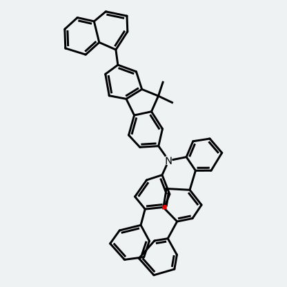 CC1(C)c2cc(-c3cccc4ccccc34)ccc2-c2ccc(N(c3ccc(-c4ccccc4)cc3)c3ccccc3-c3ccc(-c4ccccc4)cc3)cc21